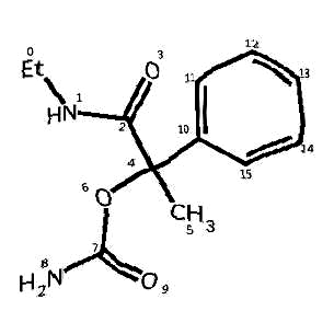 CCNC(=O)C(C)(OC(N)=O)c1ccccc1